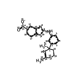 CC1(c2cccc(Nc3nc4cc([N+](=O)[O-])ccc4s3)c2)CCSC(N)=N1